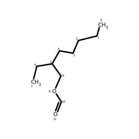 CCCCCC(CC)COC=O